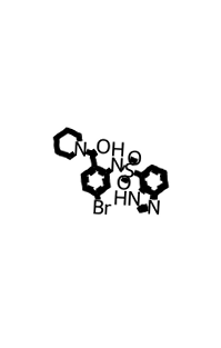 O=C(c1ccc(Br)cc1NS(=O)(=O)c1cccc2nc[nH]c12)N1CCCCC1